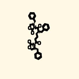 O=C(CCC[C@H](Cc1ccccc1)C(=O)N1C(=O)OC[C@@H]1Cc1ccccc1)N1C(=O)OC[C@@H]1Cc1ccccc1